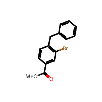 COC(=O)c1ccc(Cc2ccccc2)c(Br)c1